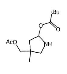 CC(=O)OCC1(C)CNC(OC(=O)C(C)(C)C)C1